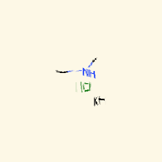 CNC.Cl.[KH]